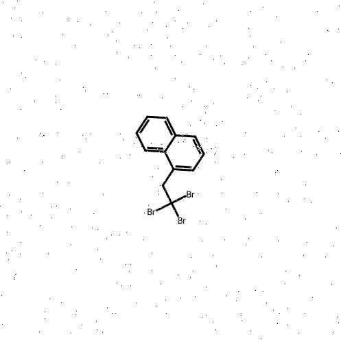 BrC(Br)(Br)[CH]c1cccc2ccccc12